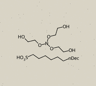 CCCCCCCCCCCCCCCCS(=O)(=O)O.OCCON(OCCO)OCCO